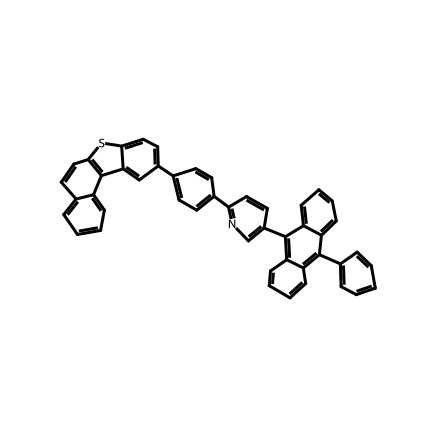 c1ccc(-c2c3ccccc3c(-c3ccc(-c4ccc(-c5ccc6sc7ccc8ccccc8c7c6c5)cc4)nc3)c3ccccc23)cc1